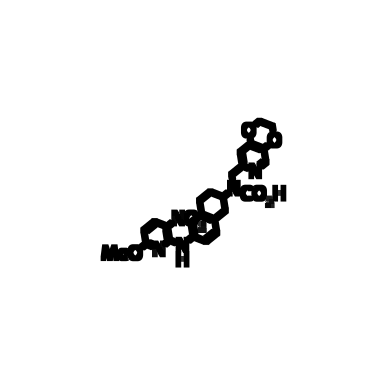 COc1ccc([N+](=O)[O-])c(Nc2ccc3c(c2)CCC(N(Cc2cc4c(cn2)OCCO4)C(=O)O)C3)n1